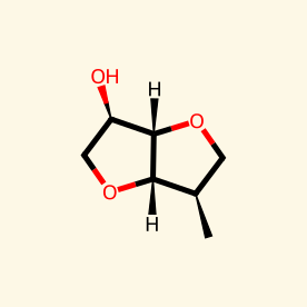 C[C@@H]1CO[C@@H]2[C@H]1OC[C@H]2O